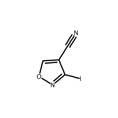 N#Cc1conc1I